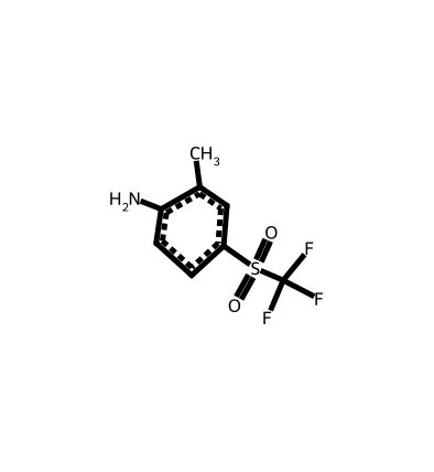 Cc1cc(S(=O)(=O)C(F)(F)F)ccc1N